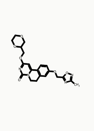 Cc1noc(COc2ccc3c(c2)CCn2c-3cc(OCC3COCCO3)nc2=O)n1